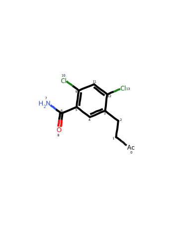 CC(=O)CCc1cc(C(N)=O)c(Cl)cc1Cl